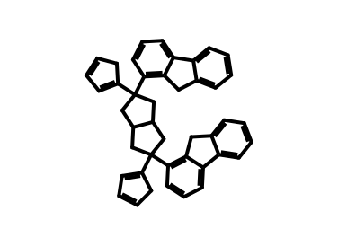 C1=CCC(C2(c3cccc4c3Cc3ccccc3-4)CC3CC(C4=CC=CC4)(c4cccc5c4Cc4ccccc4-5)CC3C2)=C1